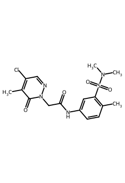 Cc1ccc(NC(=O)Cn2ncc(Cl)c(C)c2=O)cc1S(=O)(=O)N(C)C